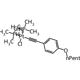 CCCCCOc1ccc(C#[C][Pt]([Cl])([PH](C)(C)C)[PH](C)(C)C)cc1